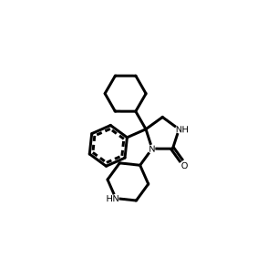 O=C1NCC(c2ccccc2)(C2CCCCC2)N1C1CCNCC1